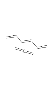 C=C=C.C=CC=CC=C